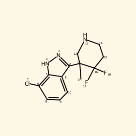 CC1(c2n[nH]c3c(Cl)cccc23)CNCCC1(F)F